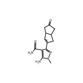 Cn1nc(C2=CC3CC(=O)CC3C2)c(C(N)=O)c1N